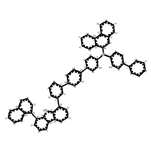 c1ccc(-c2ccc(N(c3ccc(-c4ccc(-c5cccc(-c6cccc7c6sc6c(-c8cccc9ccccc89)cccc67)c5)cc4)cc3)c3cc4ccccc4c4ccccc34)cc2)cc1